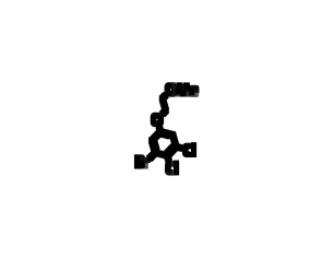 COCCOc1cc(Cl)c(Cl)c(Br)c1